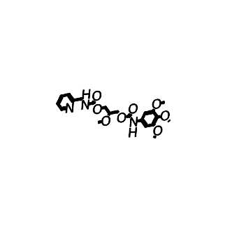 COc1cc(NC(=O)OCC(COC(=O)NCc2ccccn2)OC)cc(OC)c1OC